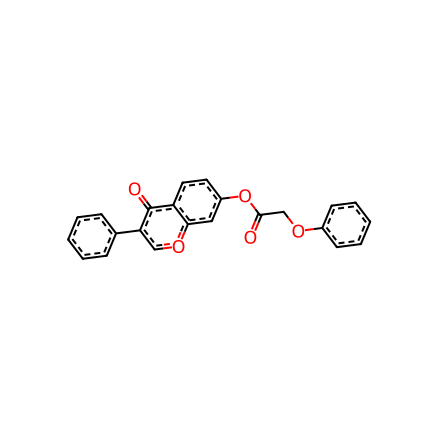 O=C(COc1ccccc1)Oc1ccc2c(=O)c(-c3ccccc3)coc2c1